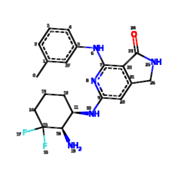 Cc1cccc(Nc2nc(N[C@@H]3CCCC(F)(F)[C@@H]3N)cc3c2C(=O)NC3)c1